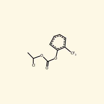 CC(Cl)OC(=O)Oc1ccccc1C(F)(F)F